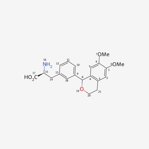 COc1cc2c(cc1OC)C(c1cccc(C[C@H](N)C(=O)O)c1)OCC2